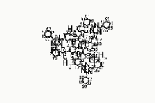 CC(C)c1cc2c3c4c1Sc1ccc(-c5nc(-c6ccccc6)nc(-c6ccccc6)n5)cc1B4c1cc(C(C)C)c4c5c1N3c1c(cc(C(C)C)c3c1B2c1cc(-c2nc(-c6ccccc6)nc(-c6ccccc6)n2)ccc1S3)B5c1cc(-c2nc(-c3ccccc3)nc(-c3ccccc3)n2)ccc1S4